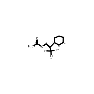 CC(=O)OCC(C1CCCCC1)C(Cl)(Cl)Cl